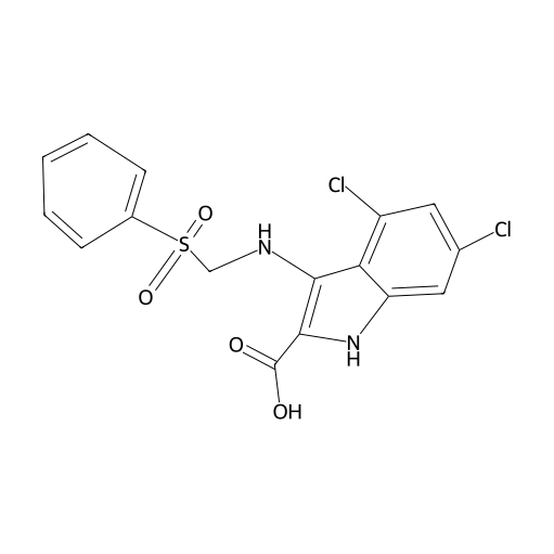 O=C(O)c1[nH]c2cc(Cl)cc(Cl)c2c1NCS(=O)(=O)c1ccccc1